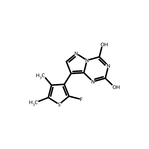 Cc1sc(F)c(-c2cnn3c(O)nc(O)nc23)c1C